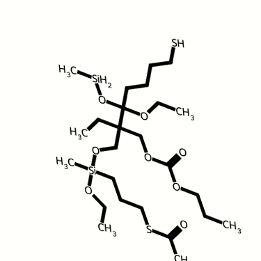 CCCOC(=O)OCC(CC)(CO[Si](C)(CCCSC(C)=O)OCC)C(CCCCS)(OCC)O[SiH2]C